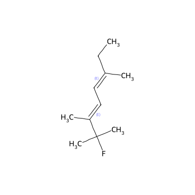 CC/C(C)=C/C=C(\C)C(C)(C)F